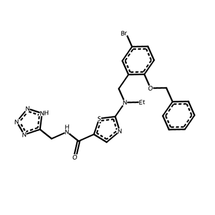 CCN(Cc1cc(Br)ccc1OCc1ccccc1)c1ncc(C(=O)NCc2nnn[nH]2)s1